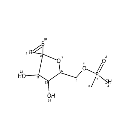 CP(=O)(S)OCC1OC2(B=B2)C(O)C1O